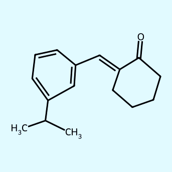 CC(C)c1cccc(C=C2CCCCC2=O)c1